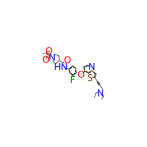 CCN(CC)CC#Cc1cc2nccc(Oc3ccc(NC(=O)C4CCN(S(C)(=O)=O)CC4)cc3F)c2s1